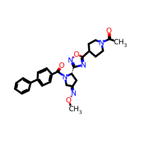 CON=C1C[C@@H](c2noc(C3CCN(C(C)=O)CC3)n2)N(C(=O)c2ccc(-c3ccccc3)cc2)C1